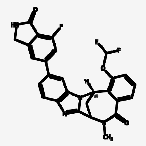 CN1C(=O)c2cccc(OC(F)F)c2[C@H]2CC1c1nc3ccc(-c4cc(F)c5c(c4)CNC5=O)cc3n12